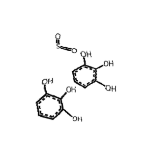 O=S=O.Oc1cccc(O)c1O.Oc1cccc(O)c1O